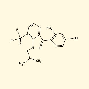 CC(C)Cn1nc(-c2ccc(O)cc2O)c2cccc(C(F)(F)F)c21